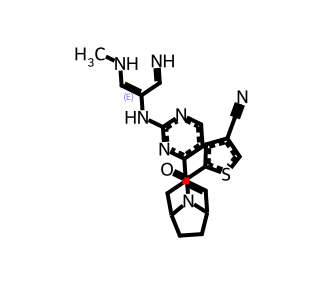 CN/C=C(\C=N)Nc1nccc(C2=CC3CCC(C2)N3C(=O)c2cc(C#N)cs2)n1